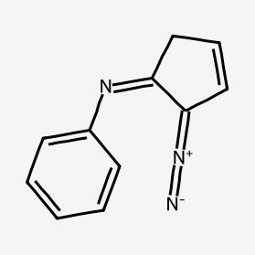 [N-]=[N+]=C1C=CCC1=Nc1ccccc1